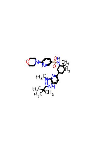 CNc1nc(C2CCC(C)(C)C(NS(=O)(=O)c3ccc(N4CCOCC4)nc3)C2)ccc1NCC(C)(C)C